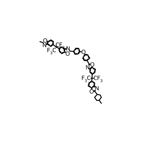 Cc1nc2cc(C(c3ccc4oc(-c5ccc(Oc6ccc(-c7nc8cc(C(c9ccc%10oc(C%11CCC(C)CC%11)nc%10c9)(C(F)(F)F)C(F)(F)F)ccc8o7)cc6)cc5)nc4c3)(C(F)(F)F)C(F)(F)F)ccc2o1